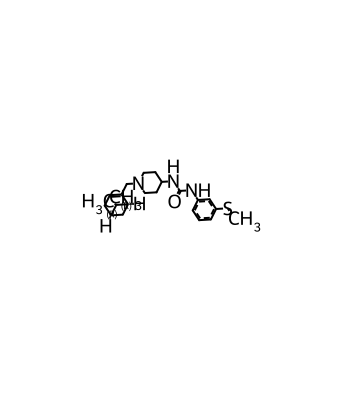 CSc1cccc(NC(=O)NC2CCN(CC3=CC[C@H]4C[C@@H]3C4(C)C)CC2)c1